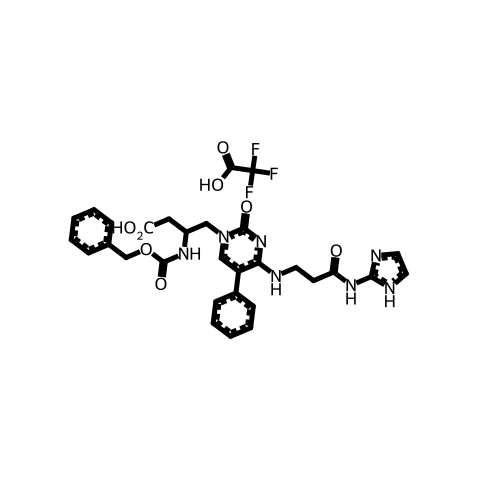 O=C(O)C(F)(F)F.O=C(O)CC(Cn1cc(-c2ccccc2)c(NCCC(=O)Nc2ncc[nH]2)nc1=O)NC(=O)OCc1ccccc1